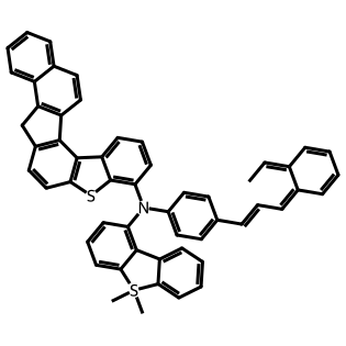 C/C=c1/cccc/c1=C/C=C/c1ccc(N(c2cccc3c2-c2ccccc2S3(C)C)c2cccc3c2sc2ccc4c(c23)-c2ccc3ccccc3c2C4)cc1